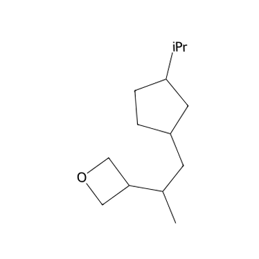 CC(C)C1CCC(CC(C)C2COC2)C1